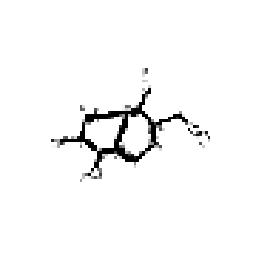 OCc1ccc2c(Cl)c(Cl)ccc2c1Cl